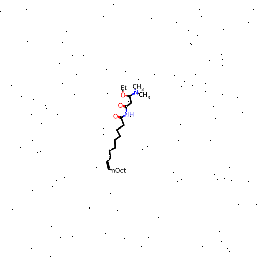 CCCCCCCC/C=C\CCCCCCCC(=O)NC(=O)CC(OCC)N(C)C